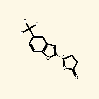 O=C1CC[C@@H](c2cc3cc(C(F)(F)F)ccc3o2)O1